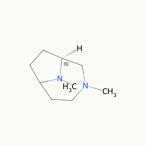 CN1CCC2CC[C@@H](C1)N2C